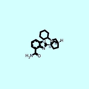 NC(=O)c1cccc2oc([C@@]34CC[C@H](CN3C3CCCCC3)C4)nc12